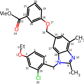 CCOc1ccc(Cn2c(C)nc3c(C)cc(COc4cccc(C(=O)OC)c4)cc32)c(Cl)c1